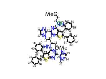 COCCNc1nc(-c2nccn2CCC(COC)Nc2nc(-c3nccn3C)nc3sc(-c4ccccc4)c(-c4ccccc4)c23)nc2sc(-c3ccccc3)c(-c3ccccc3Cl)c12